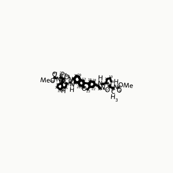 COC(=O)N[C@@H](C)C(=O)N1CCCC1c1ncc(-c2ccc3c(c2)COc2cc4c(ccc5nc([C@@H]6C[C@@H]7CCC[C@@H]7N6C(=O)[C@@H](NC(=O)OC)C(C)C)[nH]c54)cc2-3)[nH]1